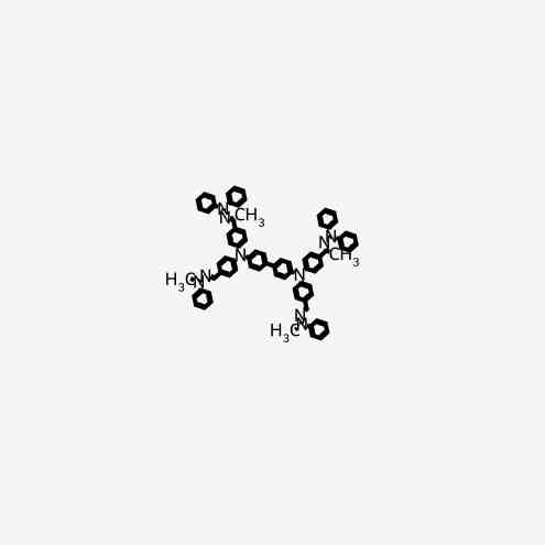 CC(=NN(c1ccccc1)c1ccccc1)c1ccc(N(c2ccc(C=NN(C)c3ccccc3)cc2)c2ccc(-c3ccc(N(c4ccc(C=NN(C)c5ccccc5)cc4)c4ccc(C(C)=NN(c5ccccc5)c5ccccc5)cc4)cc3)cc2)cc1